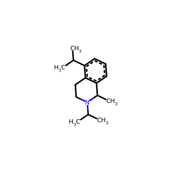 CC(C)c1cccc2c1CCN(C(C)C)C2C